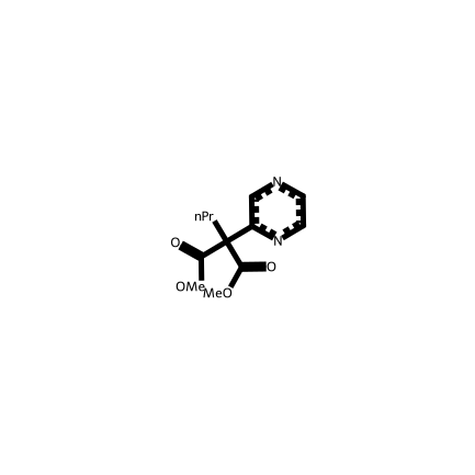 CCCC(C(=O)OC)(C(=O)OC)c1cnccn1